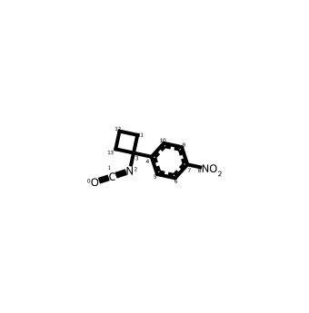 O=C=NC1(c2ccc([N+](=O)[O-])cc2)CCC1